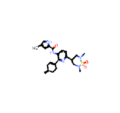 C=C1CC=C(c2nc(C3CN(C)S(=O)(=O)N(C)C3)ccc2NC(=O)c2cc(C#N)c[nH]2)CC1